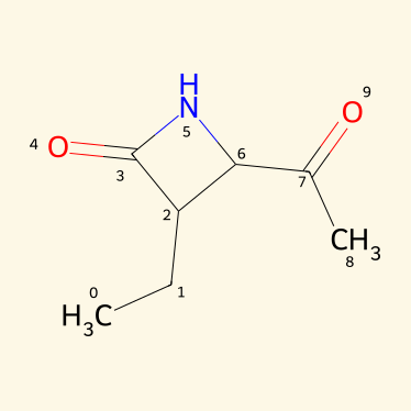 CCC1C(=O)NC1C(C)=O